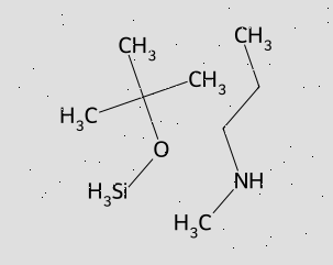 CC(C)(C)O[SiH3].CCCNC